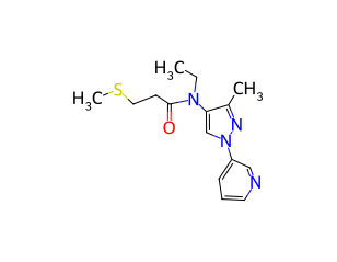 CCN(C(=O)CCSC)c1cn(-c2cccnc2)nc1C